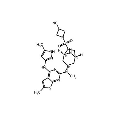 Cc1cc(Nc2nc(N(C)[C@@H]3C[C@H]4CC(S(=O)(=O)N5CC(C#N)C5)[C@@H](C3)N4)nc3sc(C)cc23)n[nH]1